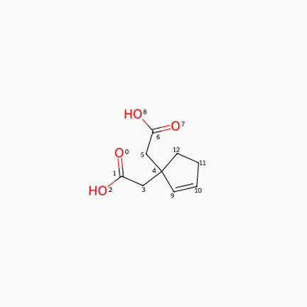 O=C(O)CC1(CC(=O)O)C=CCC1